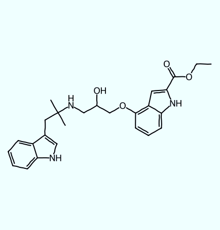 CCOC(=O)c1cc2c(OCC(O)CNC(C)(C)Cc3c[nH]c4ccccc34)cccc2[nH]1